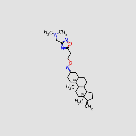 C=C1CCC2C3CCC4CC(=NOCCc5nc(CN(C)C)no5)CC[C@]4(C)C3CC[C@]12C